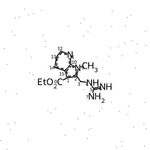 CCOC(=O)c1c(CNC(=N)N)n(C)c2ncccc12